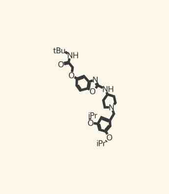 CC(C)Oc1cc(CN2CCC(Nc3nc4cc(OCC(=O)NC(C)(C)C)ccc4o3)CC2)cc(OC(C)C)c1